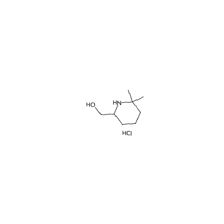 CC1(C)CCCC(CO)N1.Cl